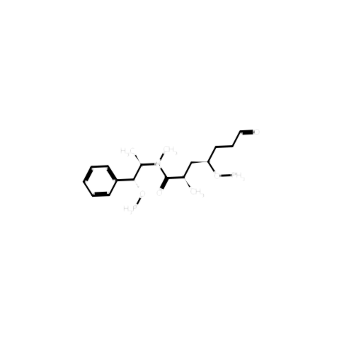 C[C@H](C[C@@H](CCC=O)OP)C(=O)N(C)[C@H](C)[C@H](OP)c1ccccc1